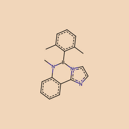 Cc1cccc(C)c1B1N(C)c2ccccc2-c2nccn21